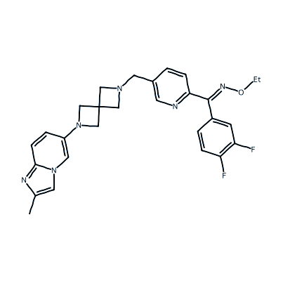 CCO/N=C(\c1ccc(F)c(F)c1)c1ccc(CN2CC3(C2)CN(c2ccc4nc(C)cn4c2)C3)cn1